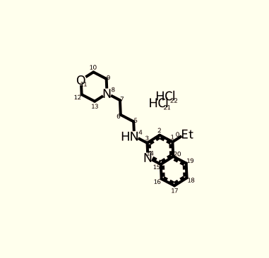 CCc1cc(NCCCN2CCOCC2)nc2ccccc12.Cl.Cl